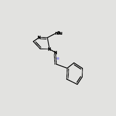 CCCCc1nccn1/N=C/c1ccccc1